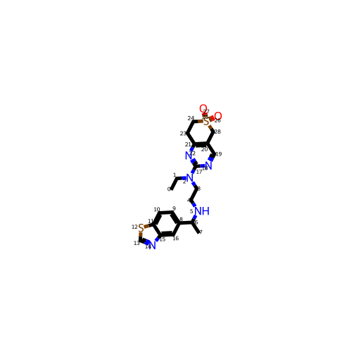 CCN(CCNC(C)c1ccc2scnc2c1)c1ncc2c(n1)CCS(=O)(=O)C2